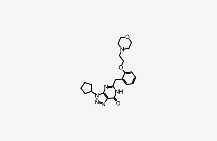 O=c1[nH]c(Cc2ccccc2OCCN2CCOCC2)nc2c1nnn2C1CCCC1